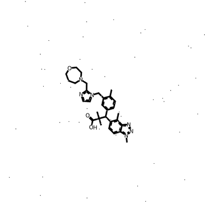 Cc1ccc(C(c2ccc3c(nnn3C)c2C)C(C)(C)C(=O)O)cc1Cn1ccnc1CN1CCCOCC1